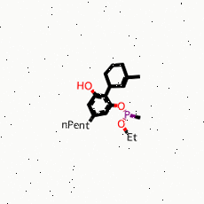 CCCCCc1cc(O)c(C2C=C(C)CCC2)c(OP(C)OCC)c1